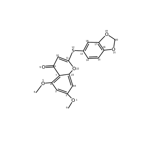 COc1cc(OC)c2c(=O)cc(Sc3ccc4c(c3)OCO4)oc2c1